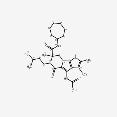 CC(=O)Nc1c2n(c3sc(C)c(C)c13)CC(C)(C(=O)NC1CCCCCC1)N(CCC(C)C)C2=O